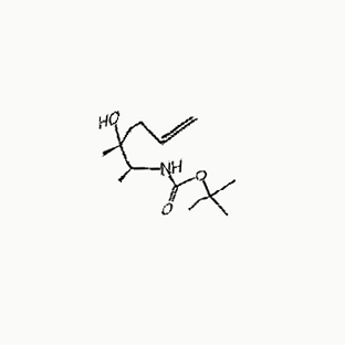 C=CC[C@@](C)(O)[C@H](C)NC(=O)OC(C)(C)C